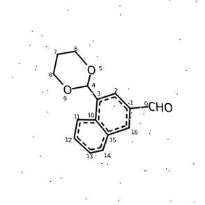 O=Cc1cc(C2OCCCO2)c2ccccc2c1